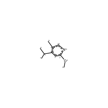 COc1cc(C(C)C)c(C)cn1